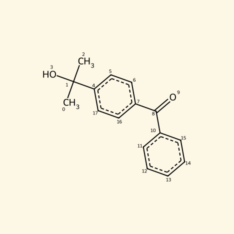 CC(C)(O)c1ccc(C(=O)c2ccccc2)cc1